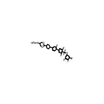 CCCCCC1COC(C2CCC(c3ccc(-c4cc(F)c(C(F)(F)Oc5cc(F)c(F)c(F)c5)c(F)c4)c(F)c3)CC2)OC1